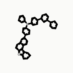 c1ccc(-c2cccc(-c3ccc(N(c4ccccc4)c4ccc(-c5ccc6c(ccc7oc8ccccc8c76)c5)cc4)cc3)c2)cc1